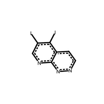 Ic1cnc2nnccc2c1I